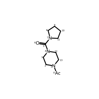 CC(=O)N1CCN(C(=O)N2CCCC2)CC1